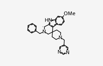 COc1ccc2c3c([nH]c2c1)[CH]N(Cc1ccccc1)CC31CCN(Cc2cncnc2)CC1